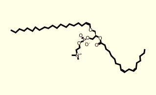 CCCCC/C=C\C/C=C\CCCCCCCC(=O)O[C@H](CO/C=C\CCCCCCCCCCCCCCCCCC)COP(=O)([O-])OCC[N+](C)(C)C